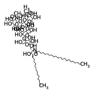 CCCCCCCCCCCCC/C=C/[C@@H](O)[C@H](CO[C@@H]1OC(CO)[C@@H](O[C@@H]2OC(CO)[C@H](O[C@@H]3OC(CO)[C@H](O[C@@H]4OC(CO)[C@H](O)[C@H](O)C4NC(C)=O)[C@H](O[C@@H]4OC(CO)[C@H](O)[C@H](O)C4NC(C)=O)C3O)[C@H](O)C2O)[C@H](O)C1O)NC(=O)CCCCCCCCCCCCCCCCCCCCC